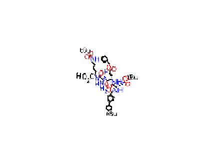 CCCCc1ccc(-c2ccc(C(=O)N[C@@H](CNC(=O)OC(C)(C)C)C(=O)N[C@@H](CCC(=O)OCc3ccccc3)C(=O)N[C@@H](N)C(=O)N[C@@H](CCCCNC(=O)OC(C)(C)C)C(=O)O)cc2)cc1